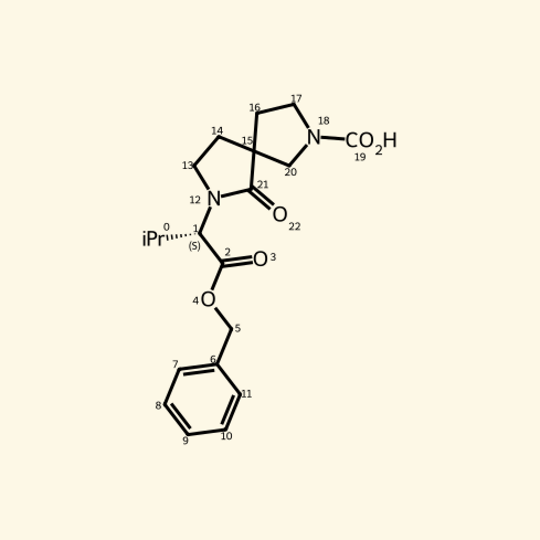 CC(C)[C@@H](C(=O)OCc1ccccc1)N1CCC2(CCN(C(=O)O)C2)C1=O